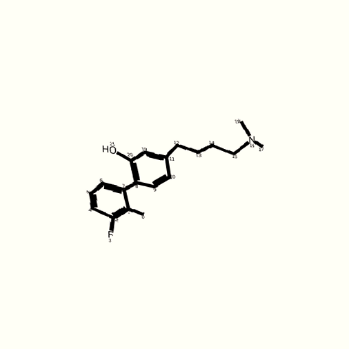 Cc1c(F)cccc1-c1[c]cc(CCCCN(C)C)cc1O